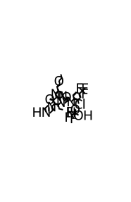 CCO/C=C/c1cnc2c(n1)c(=O)c(N1CCNCC1)c(CC)n2CC(=O)Nc1ccc(C(F)(F)F)cc1Cl.O=C(O)C(F)(F)F